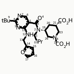 CC(C)CN(C(=O)c1cnc(C(C)(C)C)nc1NCc1ccco1)[C@@H]1C[C@H](C(=O)O)CN(C(=O)O)C1